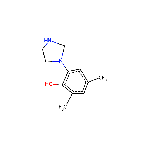 Oc1c(N2CCNC2)cc(C(F)(F)F)cc1C(F)(F)F